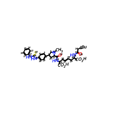 CN1CC(c2ccc(NC(=S)Nc3ccccc3)cc2)CC1C(=O)NC(CC=CCC(NC(=O)CC(C)(C)C)C(=O)O)C(=O)O